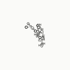 Cc1ccccc1[C@@H]1CCCN1C1CC2(CCN(c3ccc(C(=O)NS(=O)(=O)c4cc5c(c([N+](=O)[O-])c4)N[C@@H](CN4C[C@H]6C[C@@H]4CO6)CO5)c(N4C[C@@H]5COCC[C@H]5Oc5nc6[nH]ccc6cc54)c3)CC2)C1